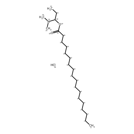 CCCCCCCCCCCCCCCCCC(=O)OC(CC)N(C)C.Cl